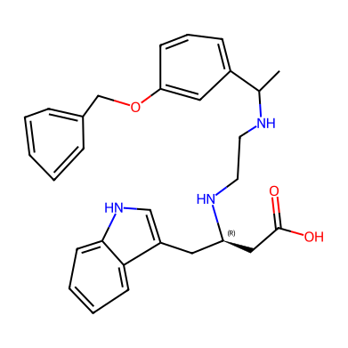 CC(NCCN[C@@H](CC(=O)O)Cc1c[nH]c2ccccc12)c1cccc(OCc2ccccc2)c1